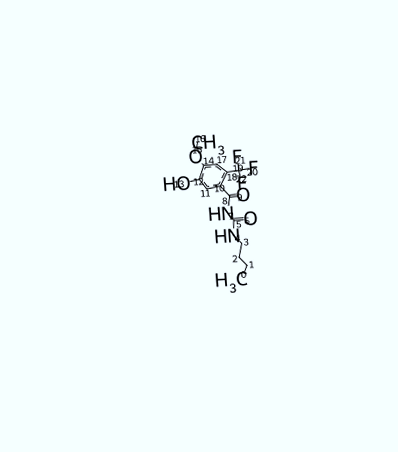 CCCCNC(=O)NC(=O)c1cc(O)c(OC)cc1C(F)(F)F